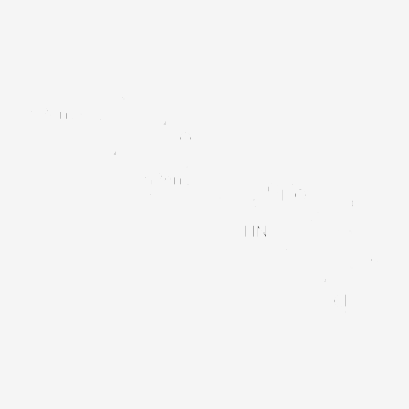 CCCCCc1ccc(OCCCC(=O)Nc2cc(Cl)c(C)c(Cl)c2O)c(CCCCC)c1